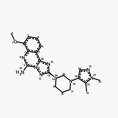 COc1cccc2c1nc(N)n1nc([C@@H]3CCCN(c4cnn(C)c4C)C3)nc21